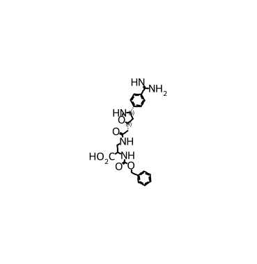 N=C(N)c1ccc([C@@H]2C[C@H](CC(=O)NCC(NC(=O)OCc3ccccc3)C(=O)O)ON2)cc1